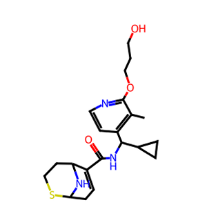 Cc1c(C(NC(=O)C2=CCC3NC2CCS3)C2CC2)ccnc1OCCCO